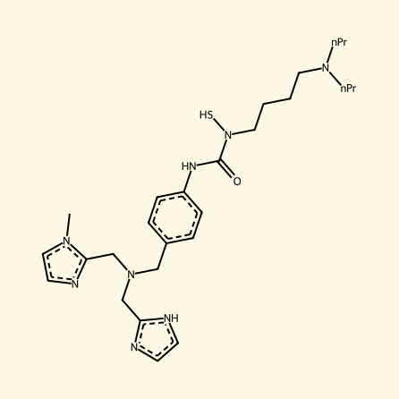 CCCN(CCC)CCCCN(S)C(=O)Nc1ccc(CN(Cc2ncc[nH]2)Cc2nccn2C)cc1